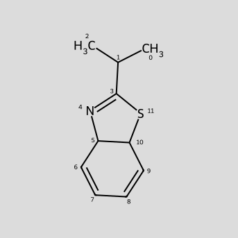 CC(C)C1=NC2C=CC=CC2S1